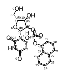 O=c1ccn([C@@H]2O[C@H](CO)[C@@H](O)[C@H]2OP(=O)(O)Oc2cccc3ccccc23)c(=O)[nH]1